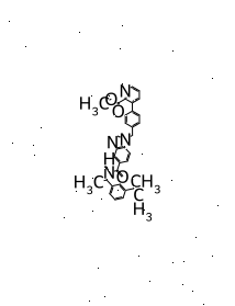 COC(=O)c1ncccc1-c1ccc(Cn2cnc3cc(C(=O)NC(C)c4cccc(C(C)C)c4)ccc32)cc1